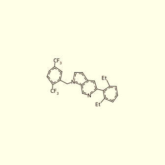 CCc1cccc(CC)c1-c1cc2ccn(Cc3cc(C(F)(F)F)ccc3C(F)(F)F)c2cn1